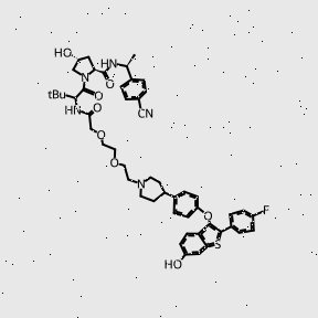 C[C@H](NC(=O)[C@@H]1C[C@@H](O)CN1C(=O)C(NC(=O)COCCOCCN1CCC(c2ccc(Oc3c(-c4ccc(F)cc4)sc4cc(O)ccc34)cc2)CC1)C(C)(C)C)c1ccc(C#N)cc1